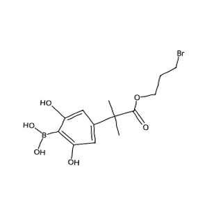 CC(C)(C(=O)OCCCBr)c1cc(O)c(B(O)O)c(O)c1